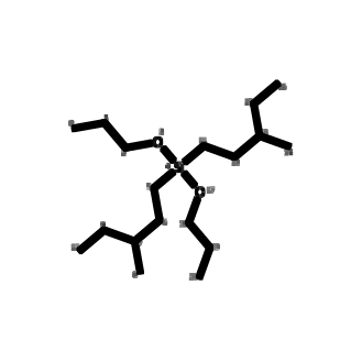 CCCO[Si](CCC(C)CC)(CCC(C)CC)OCCC